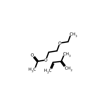 C=CC(=C)C.CCOCCOC(C)=O